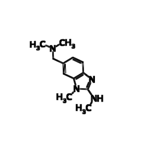 CNc1nc2ccc(CN(C)C)cc2n1C